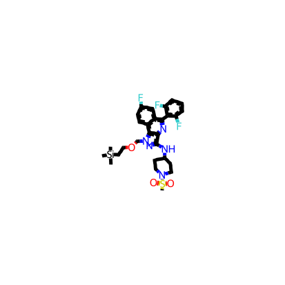 C[Si](C)(C)CCOCn1nc(NC2CCN(S(C)(=O)=O)CC2)c2nc(-c3c(F)cccc3F)c3cc(F)ccc3c21